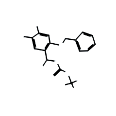 Bc1cc(OCc2ccccc2)c(C(C)NC(=O)OC(C)(C)C)cc1F